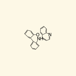 c1ccc2c(c1)NOc1ccccc1-2.c1ccc2ncccc2c1